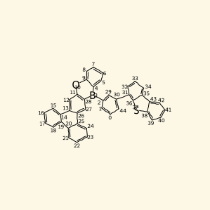 c1cc(B2c3ccccc3Oc3cc4c5ccccc5c5ccccc5c4cc32)cc(-c2cccc3c2sc2ccccc23)c1